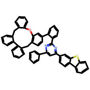 c1ccc(-c2cc(-c3ccc4c(c3)sc3ccccc34)nc(-c3ccccc3-c3ccc4c(c3)Oc3ccccc3Cc3ccccc3-c3ccccc3C4)n2)cc1